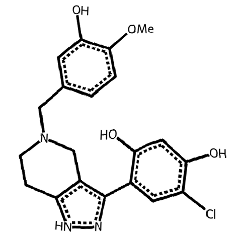 COc1ccc(CN2CCc3[nH]nc(-c4cc(Cl)c(O)cc4O)c3C2)cc1O